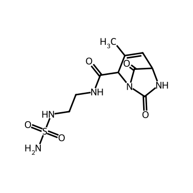 CC1=CC2NC(=O)N(C2=O)C1C(=O)NCCNS(N)(=O)=O